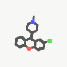 CN1CCC(=C2c3ccccc3Oc3ccc(Cl)cc32)CC1